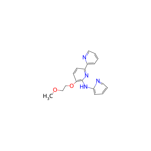 COCCOc1ccc(-c2ccccn2)nc1Nc1ccccn1